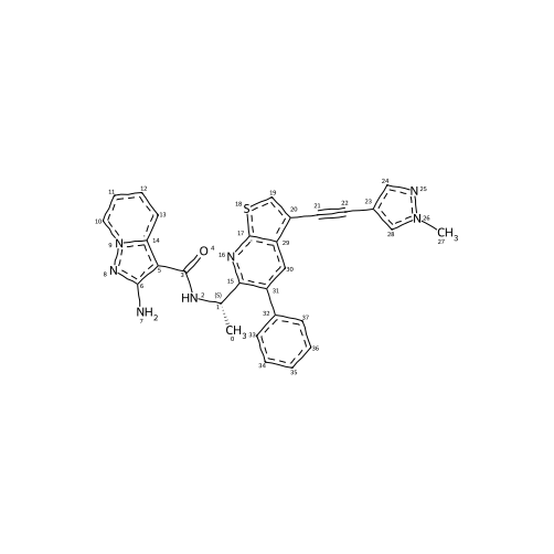 C[C@H](NC(=O)c1c(N)nn2ccccc12)c1nc2scc(C#Cc3cnn(C)c3)c2cc1-c1ccccc1